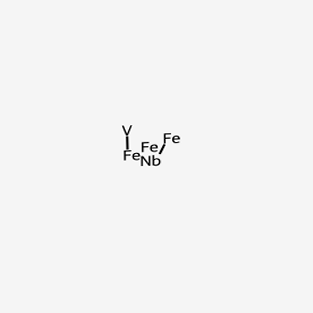 [Fe].[Fe][Nb].[V][Fe]